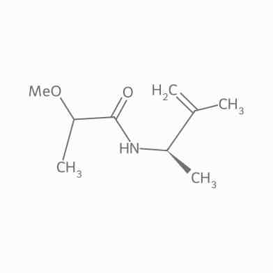 C=C(C)[C@@H](C)NC(=O)C(C)OC